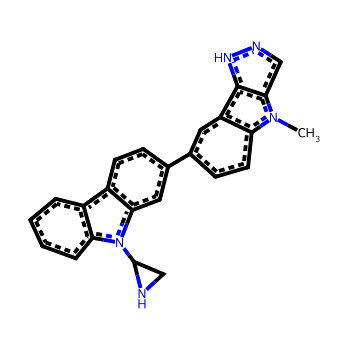 Cn1c2ccc(-c3ccc4c5ccccc5n(C5CN5)c4c3)cc2c2[nH]ncc21